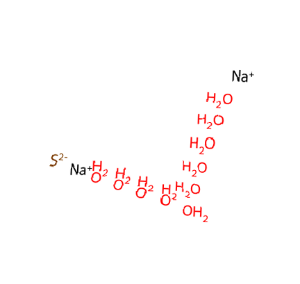 O.O.O.O.O.O.O.O.O.O.[Na+].[Na+].[S-2]